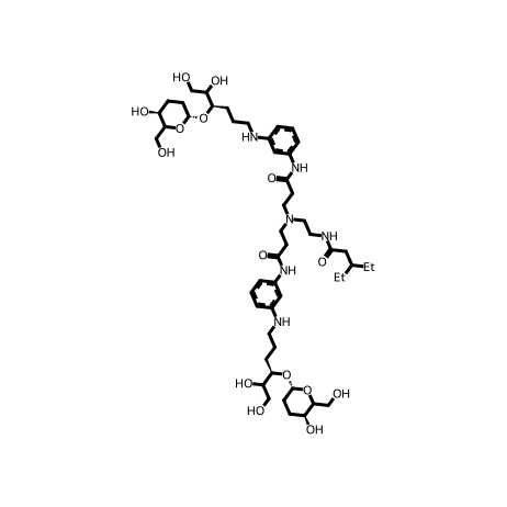 CCC(CC)CC(=O)NCCN(CCC(=O)Nc1cccc(NCCC[C@@H](O[C@H]2CC[C@H](O)C(CO)O2)C(O)CO)c1)CCC(=O)Nc1cccc(NCCC[C@@H](O[C@H]2CC[C@H](O)C(CO)O2)C(O)CO)c1